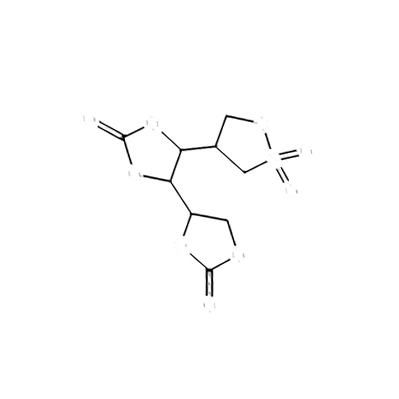 O=C1OCC(C2OC(=O)OC2C2COS(=O)(=O)C2)O1